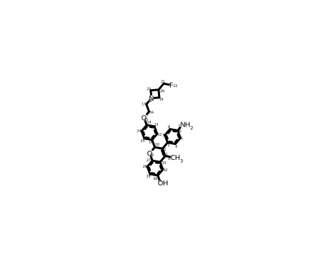 CC1=C(c2ccc(N)cc2)C(c2ccc(OCCN3CC(CF)C3)cc2)Oc2ccc(O)cc21